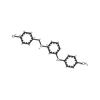 Cc1ccc(Oc2cccc(OCc3ccc(Cl)cc3)c2)cc1